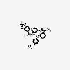 CC(C)[C@H](Nc1cc(-n2nc(C(F)(F)F)c3c2[C@@H](Oc2ccc(C(=O)O)cc2)CCC3)ccn1)c1ccc2c(c1)OC(F)(F)O2